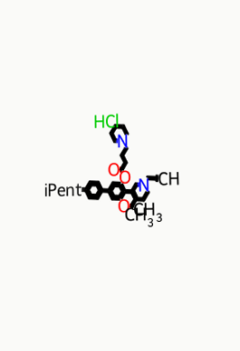 C#CCN1CCC2=C(C1)c1c(OC(=O)CCCN3CCCCC3)cc(-c3ccc(C(C)CCC)cc3)cc1OC2(C)C.Cl